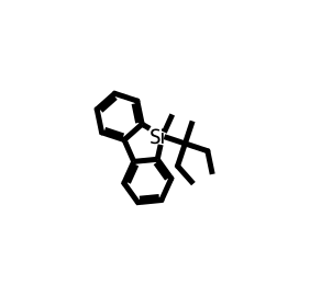 CCC(C)(CC)[Si]1(C)c2ccccc2-c2ccccc21